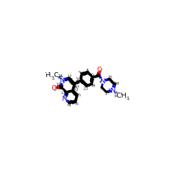 CN1CCN(C(=O)c2ccc(-c3cn(C)c(=O)c4ncccc34)cc2)CC1